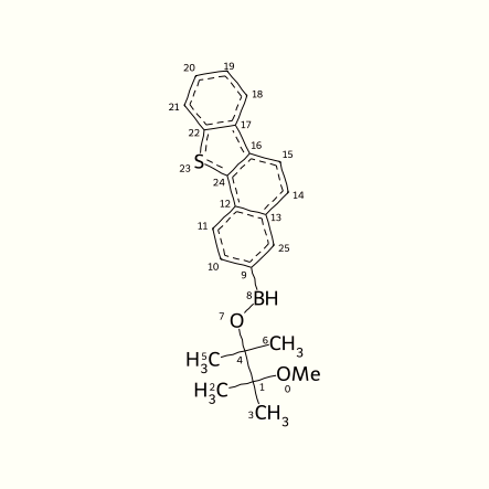 COC(C)(C)C(C)(C)OBc1ccc2c(ccc3c4ccccc4sc23)c1